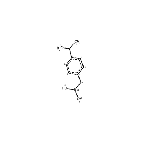 CC(C)c1ccc(CB(O)O)cc1